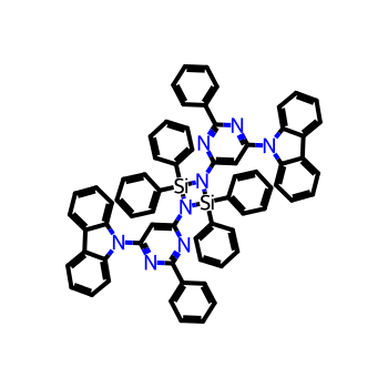 c1ccc(-c2nc(N3[Si](c4ccccc4)(c4ccccc4)N(c4cc(-n5c6ccccc6c6ccccc65)nc(-c5ccccc5)n4)[Si]3(c3ccccc3)c3ccccc3)cc(-n3c4ccccc4c4ccccc43)n2)cc1